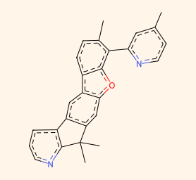 Cc1ccnc(-c2c(C)ccc3c2oc2cc4c(cc23)-c2cccnc2C4(C)C)c1